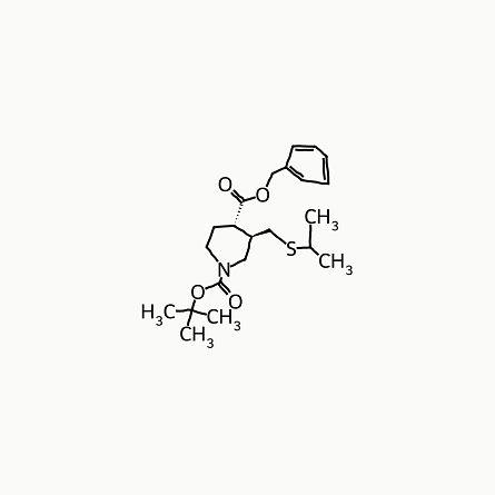 CC(C)SC[C@H]1CN(C(=O)OC(C)(C)C)CC[C@@H]1C(=O)OCc1ccccc1